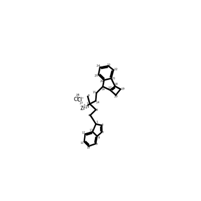 C[C]([Zr+2])(CCC1C=Cc2ccccc21)CCC1C2=C(CC2)c2ccccc21.[Cl-].[Cl-]